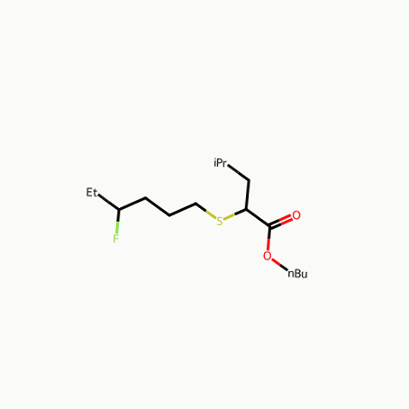 CCCCOC(=O)C(CC(C)C)SCCCC(F)CC